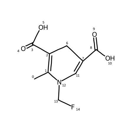 CC1=C(C(=O)O)CC(C(=O)O)=CN1CF